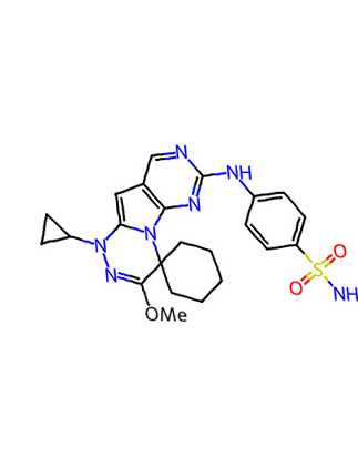 COC1=NN(C2CC2)c2cc3cnc(Nc4ccc(S(N)(=O)=O)cc4)nc3n2C12CCCCC2